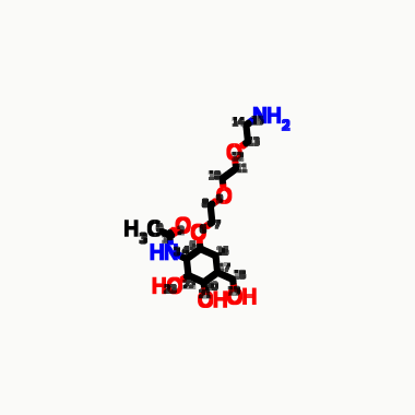 CC(=O)NC1C(OCCOCCOCCN)CC(CO)C(O)C1O